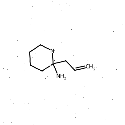 C=CCC1(N)CCCC[N]1